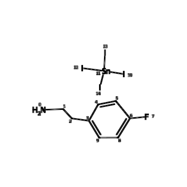 NCCc1ccc(F)cc1.[I][Sn]([I])([I])[I]